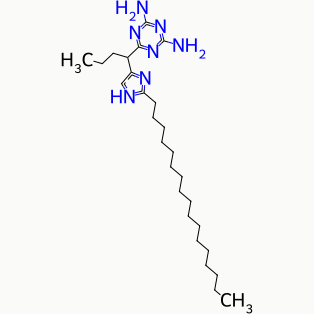 CCCCCCCCCCCCCCCCCc1nc(C(CCC)c2nc(N)nc(N)n2)c[nH]1